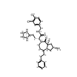 N[C@@H]1C[C@H]2C(=O)N([C@H](CCC3NNNN3)C(=O)NCc3ccc(Cl)c(Cl)c3)CCC(CCc3ccccc3)N2C1